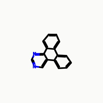 c1ccc2c(c1)c1ccccc1c1ncncc21